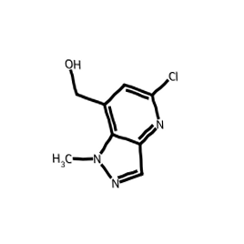 Cn1ncc2nc(Cl)cc(CO)c21